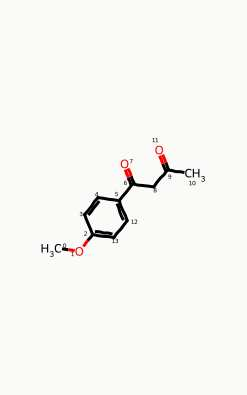 COc1ccc(C(=O)CC(C)=O)cc1